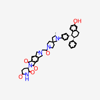 C[C@H]1CC2(CCN(C(=O)CN3Cc4cc5c(cc4C3)C(=O)N([C@@H]3CCC(=O)NC3=O)C5=O)CC2)CN1c1ccc([C@@H]2c3ccc(O)cc3CC[C@@H]2c2ccccc2)cc1